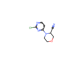 N#CC1COCCN1c1ccnc(Cl)n1